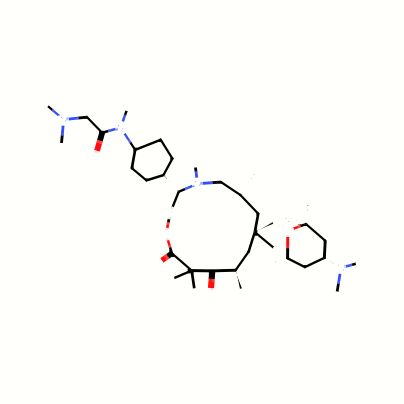 CO[C@]1(C)C[C@@H](C)CN(C)[C@@H](C2CCC(N(C)C(=O)CN(C)C)CC2)COC(=O)C(C)(C)C(=O)[C@H](C)[C@H]1O[C@H]1C[C@@H](N(C)C)C[C@@H](C)O1